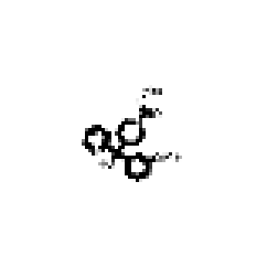 CSc1cccc(C(O)(c2ccccn2)C2CCN(C(=O)OC(C)(C)C)CC2)c1